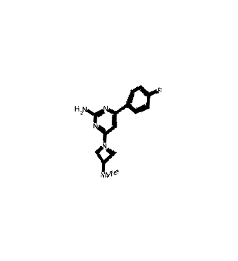 CNC1CN(c2cc(-c3ccc(F)cc3)nc(N)n2)C1